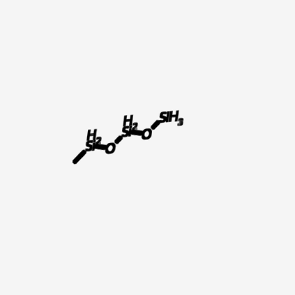 C[SiH2]O[SiH2]O[SiH3]